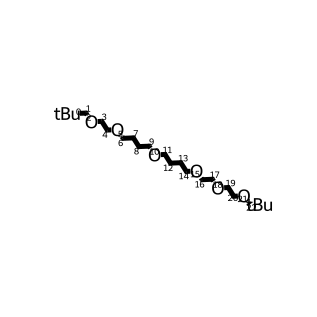 CC(C)(C)COCCOCCCCOCCCCOCCOCCOC(C)(C)C